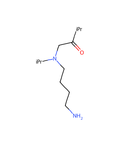 CC(C)C(=O)CN(CCCCN)C(C)C